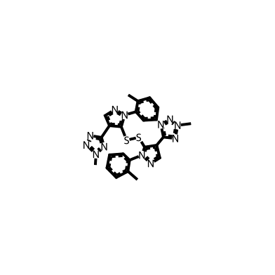 Cc1ccccc1-n1ncc(-c2nnn(C)n2)c1SSc1c(-c2nnn(C)n2)cnn1-c1ccccc1C